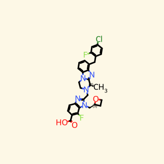 C[C@@H]1c2nc3c(Cc4ccc(Cl)cc4F)cccc3n2CCN1Cc1nc2ccc(C(=O)O)c(F)c2n1C[C@@H]1CCO1